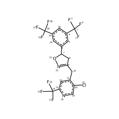 FC(F)(F)c1cc(C2CC(Cc3cc(C(F)(F)F)ncc3Cl)=NO2)cc(C(F)(F)F)c1